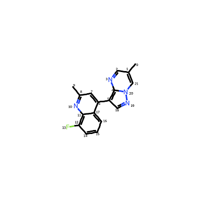 Cc1cnc2c(-c3cc(C)nc4c(F)cccc34)cnn2c1